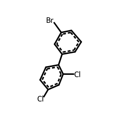 Clc1ccc(-c2cccc(Br)c2)c(Cl)c1